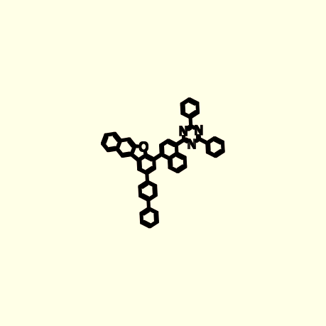 c1ccc(-c2ccc(-c3cc(-c4ccc(-c5nc(-c6ccccc6)nc(-c6ccccc6)n5)c5ccccc45)c4oc5cc6ccccc6cc5c4c3)cc2)cc1